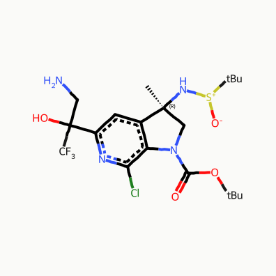 CC(C)(C)OC(=O)N1C[C@](C)(N[S+]([O-])C(C)(C)C)c2cc(C(O)(CN)C(F)(F)F)nc(Cl)c21